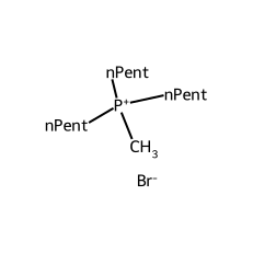 CCCCC[P+](C)(CCCCC)CCCCC.[Br-]